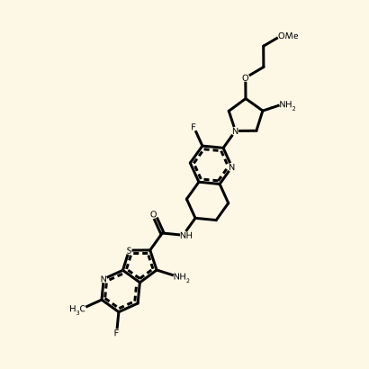 COCCOC1CN(c2nc3c(cc2F)CC(NC(=O)c2sc4nc(C)c(F)cc4c2N)CC3)CC1N